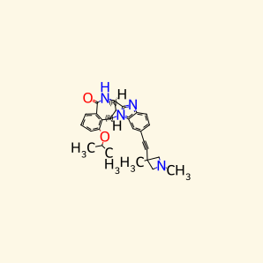 CC(C)Oc1cccc2c1[C@H]1C[C@@H](NC2=O)c2nc3ccc(C#CC4(C)CN(C)C4)cc3n21